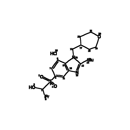 CC(C)C(O)S(=O)(=O)c1ccc2c(c1)nc(C(C)(C)C)n2CC1CCOCC1.Cl